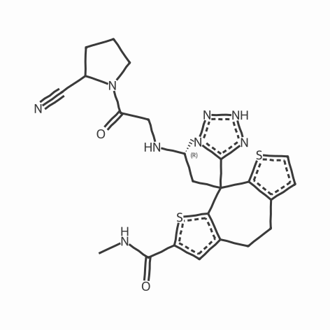 CNC(=O)c1cc2c(s1)C(C[C@@H](C)NCC(=O)N1CCCC1C#N)(c1nn[nH]n1)c1sccc1CC2